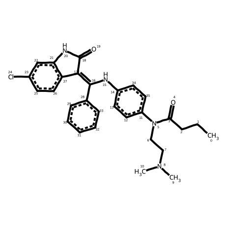 CCCC(=O)N(CCN(C)C)c1ccc(N/C(=C2\C(=O)Nc3cc(Cl)ccc32)c2ccccc2)cc1